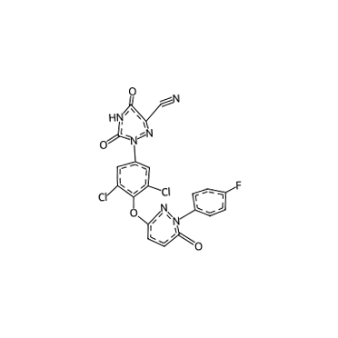 N#Cc1nn(-c2cc(Cl)c(Oc3ccc(=O)n(-c4ccc(F)cc4)n3)c(Cl)c2)c(=O)[nH]c1=O